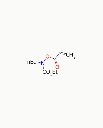 C=CC(=O)ON(CCCC)C(=O)OCC